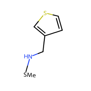 CSNCc1ccsc1